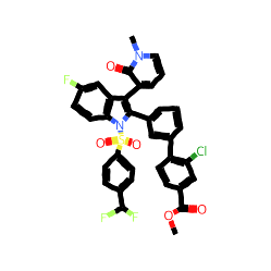 COC(=O)c1ccc(-c2cccc(-c3c(-c4cccn(C)c4=O)c4cc(F)ccc4n3S(=O)(=O)c3ccc(C(F)F)cc3)c2)c(Cl)c1